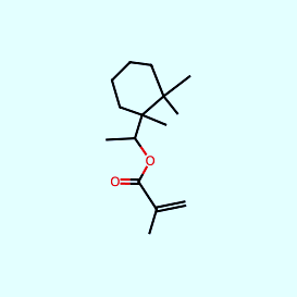 C=C(C)C(=O)OC(C)C1(C)CCCCC1(C)C